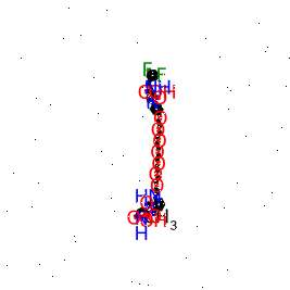 CC1(O)NC(=O)CCC1N1C(=O)c2cccc(NCCOCCOCCOCCOCCOCCOCCOc3ccc(N4CCC(O)(C(=O)NCc5cc(F)cc(F)c5)C4=O)cc3)c2C1=O